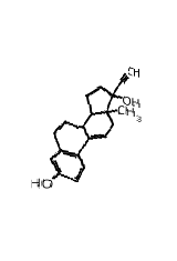 C#CC1(O)CCC2C3CCc4cc(O)ccc4C3=CCC21C